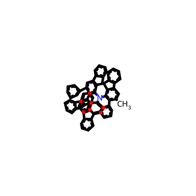 Cc1cc2c(c(N(C3=CC=C4C(=Cc5ccccc54)C34C=CC=C3C4=Cc4ccccc43)c3c4c(cc(-c5ccccc5)c3-c3ccccc3)-c3ccccc3C4)c1-c1ccccc1)Cc1ccccc1-2